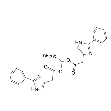 CCCCCC(OC(=O)Cc1c[nH]c(-c2ccccc2)n1)OC(=O)Cc1c[nH]c(-c2ccccc2)n1